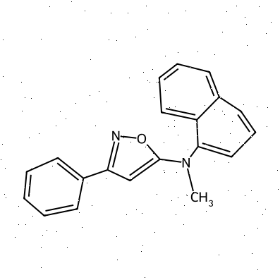 CN(c1cc(-c2ccccc2)no1)c1cccc2ccccc12